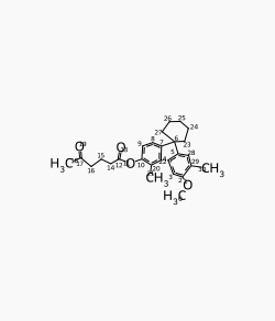 COc1ccc(C2(c3ccc(OC(=O)CCCC(C)=O)c(C)c3)CCCCC2)cc1C